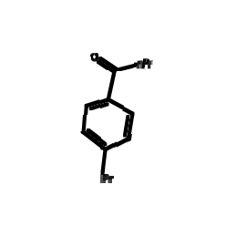 CCCC(=O)c1ccc(C(C)C)cc1